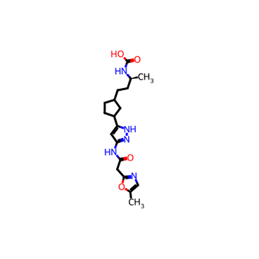 Cc1cnc(CC(=O)Nc2cc(C3CCC(CC[C@H](C)NC(=O)O)C3)[nH]n2)o1